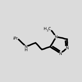 CC(C)NCCc1nncn1C